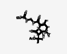 CC(=O)OC(C)(C)[C@H]1C(=O)N2C(C(=O)OCOC(=O)C(C)(C)C)=C(C)C[S+]([O-])[C@@H]12